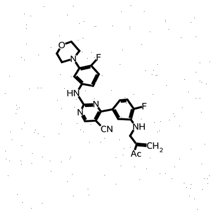 C=C(CNc1cc(-c2nc(Nc3ccc(F)c(N4CCOCC4)c3)ncc2C#N)ccc1F)C(C)=O